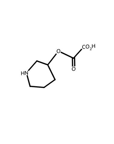 O=C(O)C(=O)OC1CCCNC1